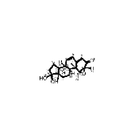 C[C@@]12C(=CC(=O)[C@@H]3O[C@@H]31)C=C[C@@H]1[C@@H]2CC[C@@]2(C)[C@H]1CCC2(O)O